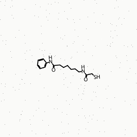 O=C(CS)NCCCCCCC(=O)Nc1ccccc1